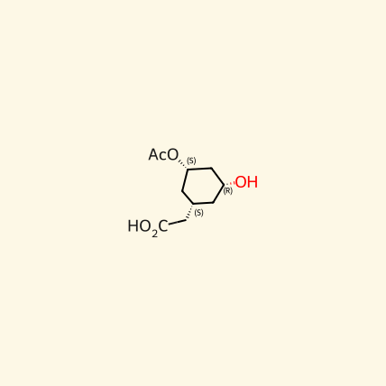 CC(=O)O[C@@H]1C[C@H](O)C[C@H](CC(=O)O)C1